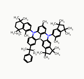 Cc1cc2c3c(c1)N(c1ccc4c(c1C)C(C)(C)CCC4(C)C)c1ccc(C(C)(C)c4ccccc4)cc1B3c1cc3c(cc1N2c1cc2c(cc1C)C(C)(C)CC2(C)C)C(C)(C)CC3(C)C